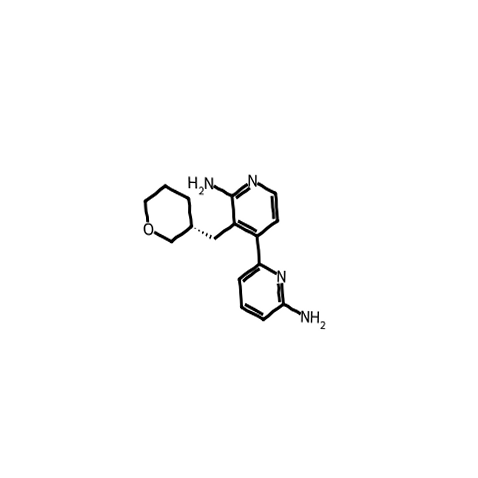 Nc1cccc(-c2ccnc(N)c2C[C@H]2CCCOC2)n1